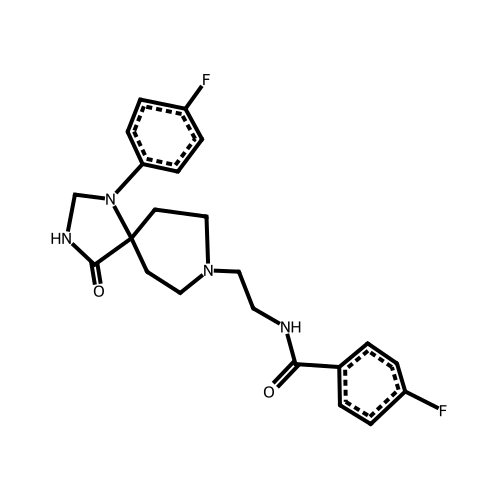 O=C(NCCN1CCC2(CC1)C(=O)NCN2c1ccc(F)cc1)c1ccc(F)cc1